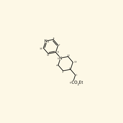 CCOC(=O)CC1CCN(c2ccncc2)CC1